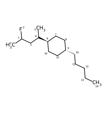 [CH2]C(F)CC(C)[C@H]1CC[C@H](CCCCC)CC1